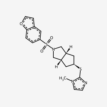 Cn1ccnc1S[C@H]1C[C@@H]2CN(S(=O)(=O)c3ccc4occc4c3)C[C@@H]2C1